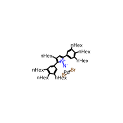 CCCCCCC1=C(c2cc(CCCCCC)c(CCCCCC)c(CCCCCC)c2)[N+](=[N-])C(c2cc(CCCCCC)c(CCCCCC)c(CCCCCC)c2)=C1.[Br][Pd][Br]